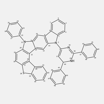 C1=C(n2c3ccccc3c3cc4c(cc32)c2c3c(ccc2n4-c2ccccc2)sc2ccccc23)N=C(c2ccccc2)NC1c1ccccc1